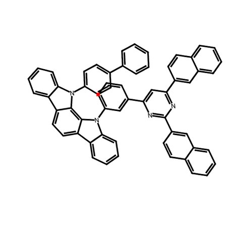 c1ccc(-c2ccc(-n3c4ccccc4c4ccc5c6ccccc6n(-c6cccc(-c7cc(-c8ccc9ccccc9c8)nc(-c8ccc9ccccc9c8)n7)c6)c5c43)cc2)cc1